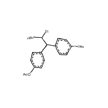 CCCCC(CC)C(c1ccc(OC)cc1)c1ccc(OC(C)=O)cc1